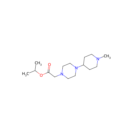 CC(C)OC(=O)CN1CCN(C2CCN(C)CC2)CC1